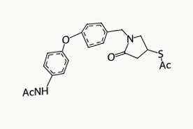 CC(=O)Nc1ccc(Oc2ccc(CN3CC(SC(C)=O)CC3=O)cc2)cc1